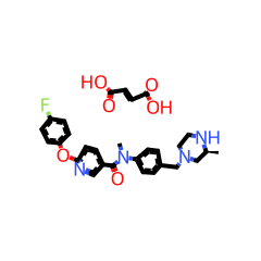 C[C@H]1CN(Cc2ccc(N(C)C(=O)c3ccc(Oc4ccc(F)cc4)nc3)cc2)CCN1.O=C(O)/C=C/C(=O)O